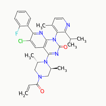 C=CC(=O)N1C[C@H](C)N(c2nc(=O)n(-c3c(C)ccnc3C(C)C)c3nc(-c4ccccc4F)c(Cl)cc23)[C@@H](C)C1